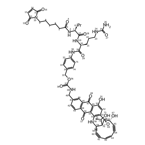 CC(C)[C@H](NC(=O)CCCCCN1C(=O)C=CC1=O)C(=O)N[C@@H](CCCNC(N)=O)C(=O)Nc1ccc(COC(=O)NCc2ccc3c(c2)C(=O)c2c(O)cc4c(c2C3=O)N[C@H]2C#C/C=C\C#C[C@@H](O)[C@@]43O[C@@]23[C@@H](C)O)cc1